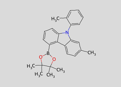 Cc1ccc2c3c(B4OC(C)(C)C(C)(C)O4)cccc3n(-c3ccccc3C)c2c1